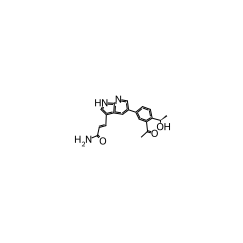 CC(=O)c1cc(-c2cnc3[nH]cc(/C=C/C(N)=O)c3c2)ccc1[C@@H](C)O